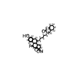 CCC(=O)N(CCCCC[C@@H]1Cc2cc(O)ccc2C2C1C1CC[C@H](O)[C@@]1(C)C[C@@H]2F)CC1CCCCC1